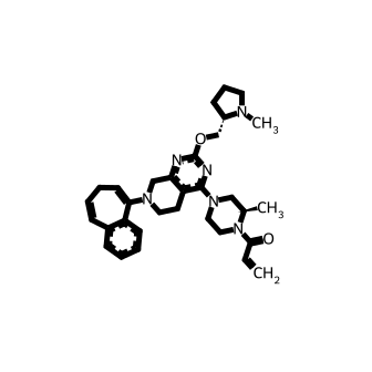 C=CC(=O)N1CCN(c2nc(OC[C@@H]3CCCN3C)nc3c2CCN(C2=CCC=Cc4ccccc42)C3)C[C@H]1C